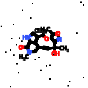 Cc1cc(C(C)(O)C#Cc2cn(C)c(=O)c3[nH]cc(C(=O)OCC(C)C)c23)no1